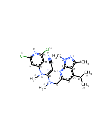 Cc1nn(C)c2nc(CN(C)/C(=C/C#N)N(C)c3cc(Cl)nc(Cl)c3)cc(C(C)C)c12